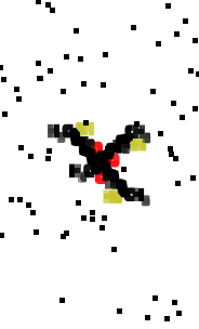 CCC(CC(=O)C[Te]CC(C)S)(CC(=O)C[Te]CC(C)S)CC(=O)C[Te]CC(C)S